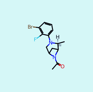 CC(=O)N1C2CC1[C@H](C)N(c1cccc(Br)c1F)C2